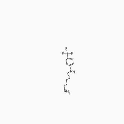 NCCCCCNc1ccc(C(F)(F)F)cc1